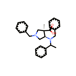 CC(c1ccccc1)N(Cc1ccccc1)[C@H]1CN(Cc2ccccc2)C[C@@]1(C)C(=O)O